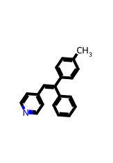 Cc1ccc(C(=Cc2ccncc2)c2ccccc2)cc1